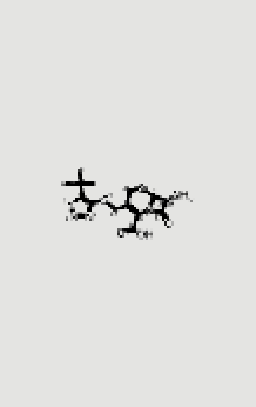 CC(C)(C)c1snnc1SCC1=C(C(=O)O)N2C(=O)[C@H](N)C2SC1